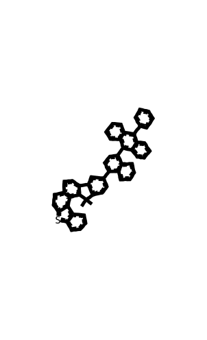 CC1(C)c2ccc(-c3ccc(-c4c5ccccc5c(-c5ccccc5)c5ccccc45)c4ccccc34)cc2-c2ccc3ccc4sc5ccccc5c4c3c21